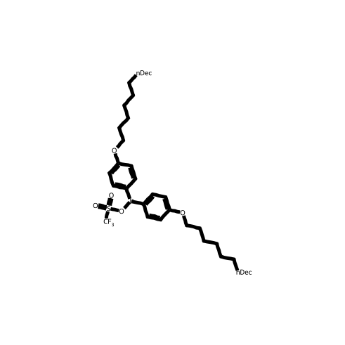 CCCCCCCCCCCCCCCCOc1ccc([I+](OS(=O)(=O)C(F)(F)F)c2ccc(OCCCCCCCCCCCCCCCC)cc2)cc1